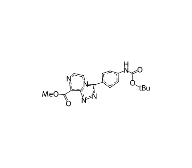 COC(=O)c1nccn2c(-c3ccc(NC(=O)OC(C)(C)C)cc3)nnc12